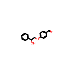 O=Cc1ccc(OC[C@@H](O)c2ccccc2)cc1